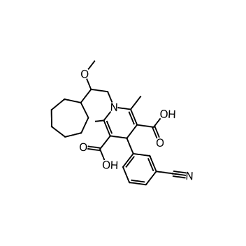 COC(CN1C(C)=C(C(=O)O)C(c2cccc(C#N)c2)C(C(=O)O)=C1C)C1CCCCCC1